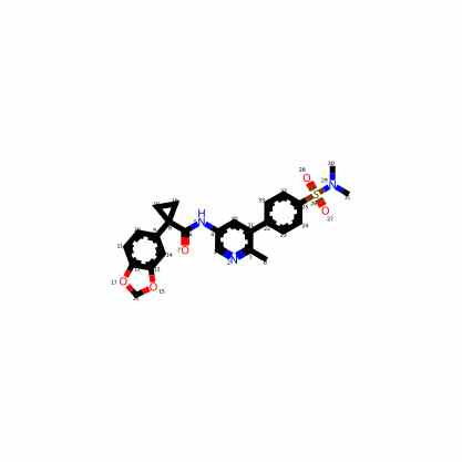 Cc1ncc(NC(=O)C2(c3ccc4c(c3)OCO4)CC2)cc1-c1ccc(S(=O)(=O)N(C)C)cc1